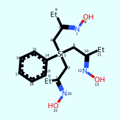 CCC(C[Si](CC(CC)=NO)(CC(CC)=NO)c1ccccc1)=NO